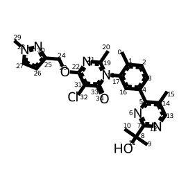 Cc1ccc(-c2nc(C(C)(C)O)ncc2C)cc1-n1c(C)nc(OCc2ccn(C)n2)c(Cl)c1=O